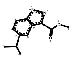 COC(=O)c1n[nH]c2ccc(C(C)C)cc12